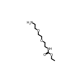 CCOC(=O)NCCOCCOCCN